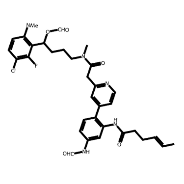 C/C=C/CCC(=O)Nc1cc(NC=O)ccc1-c1ccnc(CC(=O)N(C)CCCC(OC=O)c2c(NC)ccc(Cl)c2F)c1